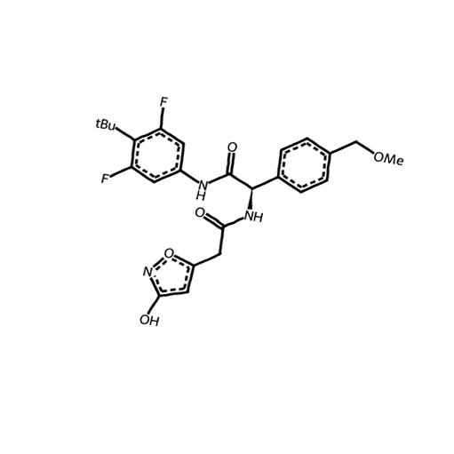 COCc1ccc([C@@H](NC(=O)Cc2cc(O)no2)C(=O)Nc2cc(F)c(C(C)(C)C)c(F)c2)cc1